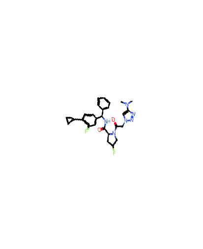 CN(C)c1cn(CC(=O)N2CC(F)CC2C(=O)NC(c2ccccc2)c2ccc(C3CC3)c(F)c2)nn1